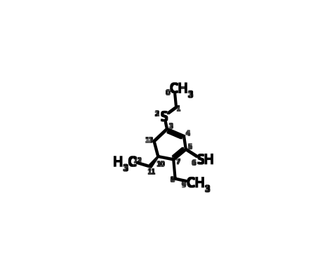 CCSC1=CC(S)=C(CC)[C@@H](CC)C1